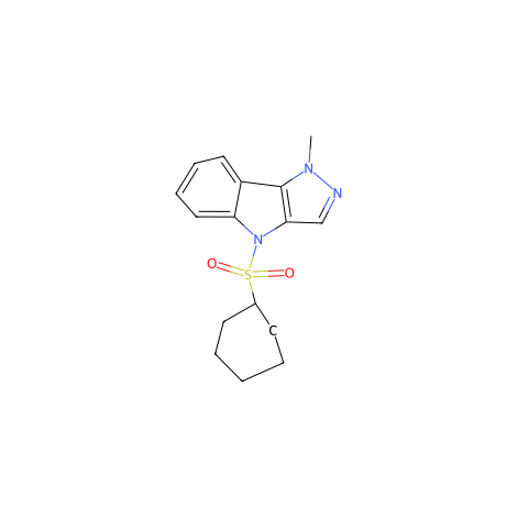 Cn1ncc2c1c1ccccc1n2S(=O)(=O)C1CCCCC1